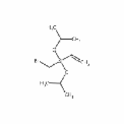 C=C[Si](CBr)(OC(C)C)OC(C)C